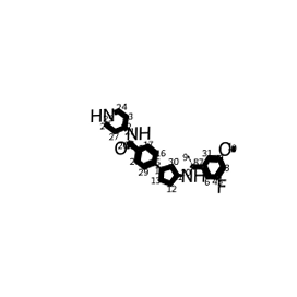 COc1cc(F)cc([C@@H](C)N[C@H]2CC[C@@H](c3ccc(C(=O)NC4CCNCC4)cc3)C2)c1